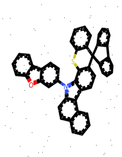 c1ccc2c(c1)Sc1c(ccc3c4c5ccccc5ccc4n(-c4ccc5c(c4)oc4ccccc45)c13)C21c2ccccc2-c2ccccc21